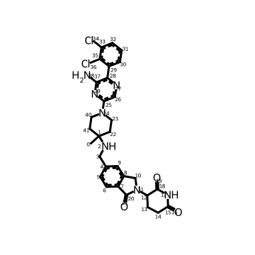 CC1(NCc2ccc3c(c2)CN(C2CCC(=O)NC2=O)C3=O)CCN(c2cnc(-c3cccc(Cl)c3Cl)c(N)n2)CC1